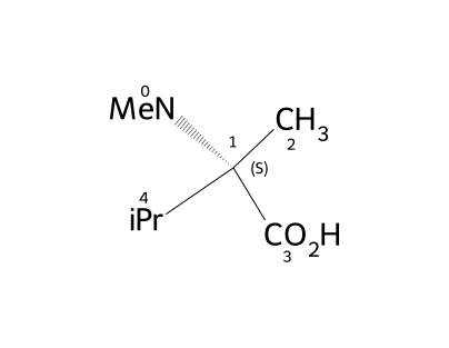 CN[C@](C)(C(=O)O)C(C)C